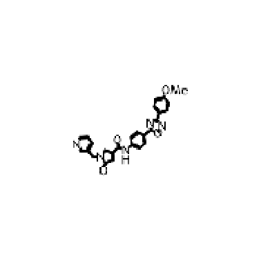 COc1ccc(-c2noc(-c3ccc(NC(=O)C4CC(=O)N(Cc5cccnc5)C4)cc3)n2)cc1